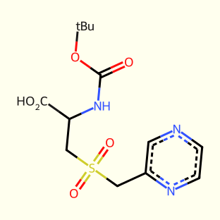 CC(C)(C)OC(=O)NC(CS(=O)(=O)Cc1cnccn1)C(=O)O